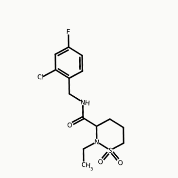 CCN1C(C(=O)NCc2ccc(F)cc2Cl)CCCS1(=O)=O